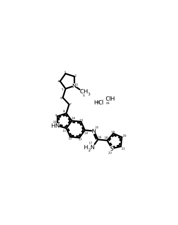 CN1CCCC1CCc1c[nH]c2ccc(N=C(N)c3cccs3)cc12.Cl.Cl